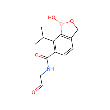 CC(C)c1c(C(=O)NCC=O)ccc2c1B(O)OC2